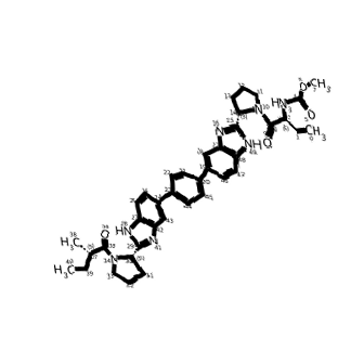 CC[C@H](NC(=O)OC)C(=O)N1CCC[C@H]1c1nc2cc(-c3ccc(-c4ccc5[nH]c([C@@H]6CCCN6C(=O)[C@@H](C)CC)nc5c4)cc3)ccc2[nH]1